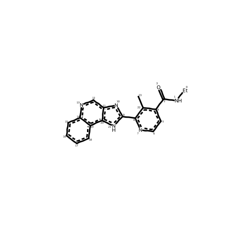 CCNC(=O)c1ccnc(-c2nc3cnc4ccccc4c3[nH]2)c1C